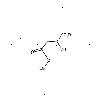 CCOC(=O)C(O)CC(=O)OC(C)(C)C